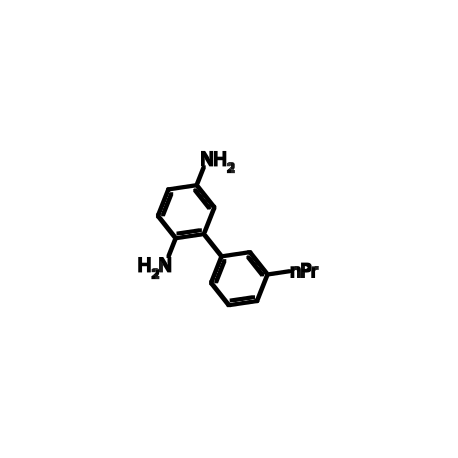 CCCc1cccc(-c2cc(N)ccc2N)c1